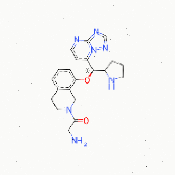 NCC(=O)N1CCc2cccc(O[C@@H](c3ccnc4ncnn34)C3CCCN3)c2C1